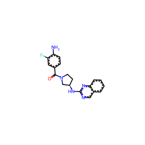 Nc1ccc(C(=O)N2CC[C@@H](Nc3ncc4ccccc4n3)C2)cc1F